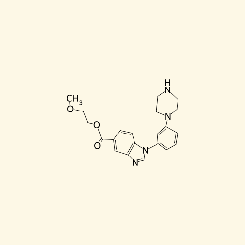 COCCOC(=O)c1ccc2c(c1)ncn2-c1cccc(N2CCNCC2)c1